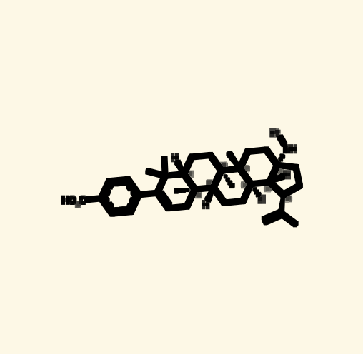 C=C(C)[C@@H]1CC[C@]2(NCC)CC[C@]3(C)[C@H](CC[C@@H]4[C@@]5(C)CC=C(c6ccc(C(=O)O)cc6)C(C)(C)[C@@H]5CC[C@]43C)[C@@H]12